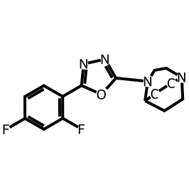 Fc1ccc(-c2nnc(N3CCN4CCC3CC4)o2)c(F)c1